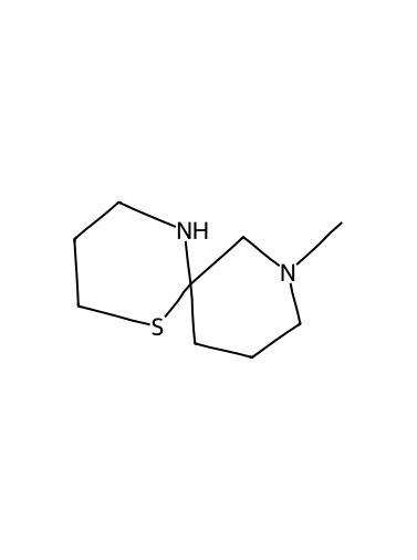 CN1CCCC2(C1)NCCCS2